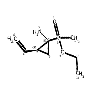 C=C[C@@H]1C[C@]1(N)P(C)(=O)OCC